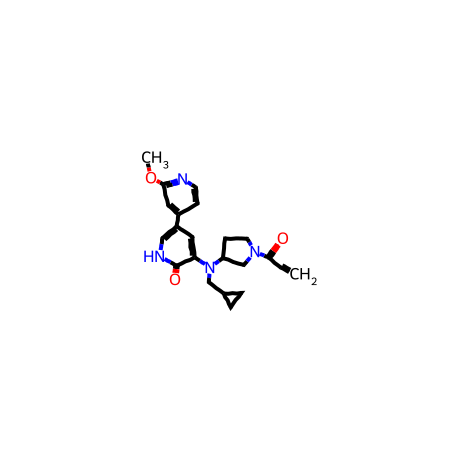 C=CC(=O)N1CCC(N(CC2CC2)c2cc(-c3ccnc(OC)c3)c[nH]c2=O)C1